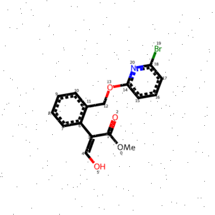 COC(=O)C(=CO)c1ccccc1COc1cccc(Br)n1